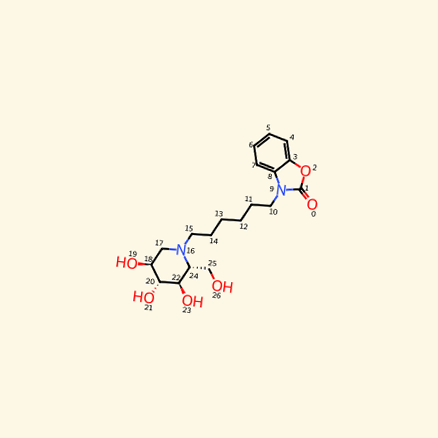 O=c1oc2ccccc2n1CCCCCCN1C[C@H](O)[C@@H](O)[C@H](O)[C@H]1CO